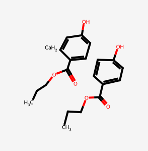 CCCOC(=O)c1ccc(O)cc1.CCCOC(=O)c1ccc(O)cc1.[CaH2]